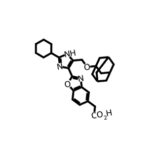 O=C(O)Cc1ccc2oc(-c3nc(C4CCCCC4)[nH]c3COC34CC5CC(CC(C5)C3)C4)nc2c1